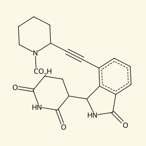 O=C1CCC(C2NC(=O)c3cccc(C#CC4CCCCN4C(=O)O)c32)C(=O)N1